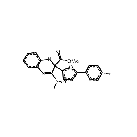 COC(=O)C1(c2ccc(-c3ccc(F)cc3)o2)Nc2ccccc2N=C1N(C)C(C)C